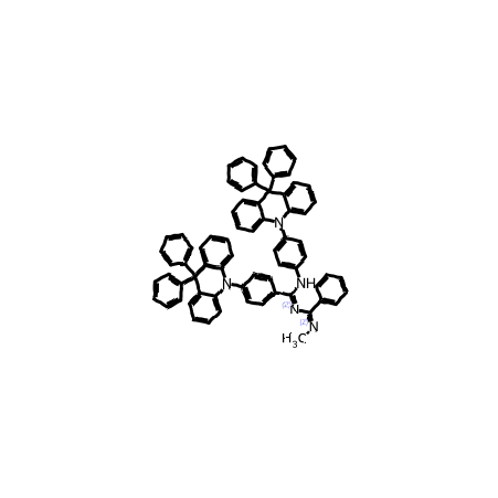 C/N=C(\N=C(/Nc1ccc(N2c3ccccc3C(c3ccccc3)(c3ccccc3)c3ccccc32)cc1)c1ccc(N2c3ccccc3C(c3ccccc3)(c3ccccc3)c3ccccc32)cc1)c1ccccc1